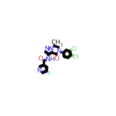 C[C@H]1CN(c2ccc(Cl)c(Cl)c2)C(=O)c2c(NC(=O)c3cncc(F)c3)cnn21